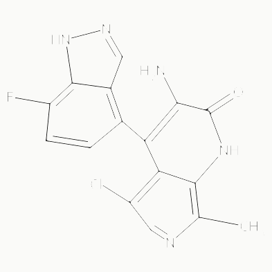 Cc1ncc(Cl)c2c(-c3ccc(F)c4[nH]ncc34)c(N)c(=O)[nH]c12